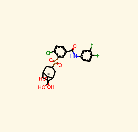 O=C(Nc1ccc(F)c(F)c1)c1ccc(Cl)c(S(=O)(=O)C2CC3CC(O)C(C2)[C@@]3(O)CO)c1